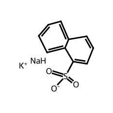 O=S(=O)([O-])c1cccc2ccccc12.[K+].[NaH]